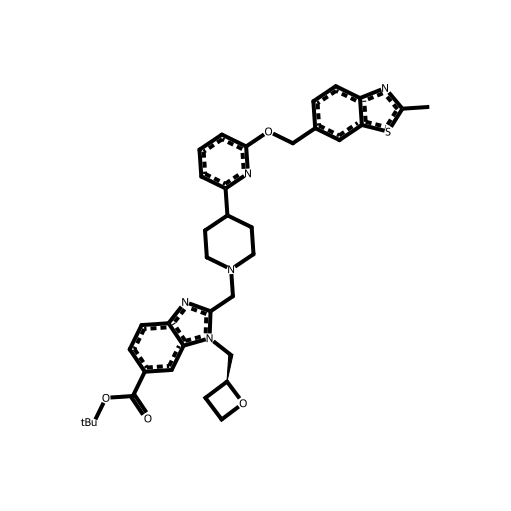 Cc1nc2ccc(COc3cccc(C4CCN(Cc5nc6ccc(C(=O)OC(C)(C)C)cc6n5C[C@@H]5CCO5)CC4)n3)cc2s1